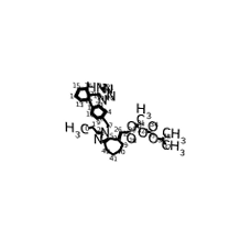 CCc1nc2c(n1Cc1ccc(-c3ccccc3-c3nnn[nH]3)cc1)C(=CC(=O)OC(C)OC(=O)OC(C)C)CCCC2